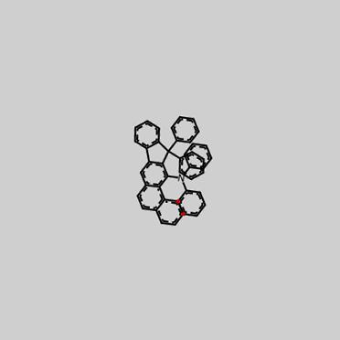 c1ccc(N(c2ccccc2)c2c3c(cc4ccc5ccccc5c24)-c2ccccc2C3(c2ccccc2)c2ccccc2)cc1